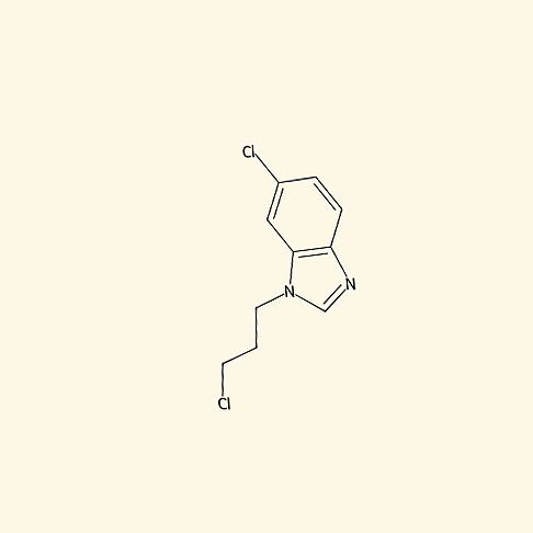 ClCCCn1cnc2ccc(Cl)cc21